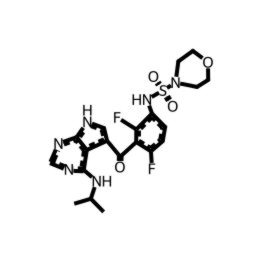 CC(C)Nc1ncnc2[nH]cc(C(=O)c3c(F)ccc(NS(=O)(=O)N4CCOCC4)c3F)c12